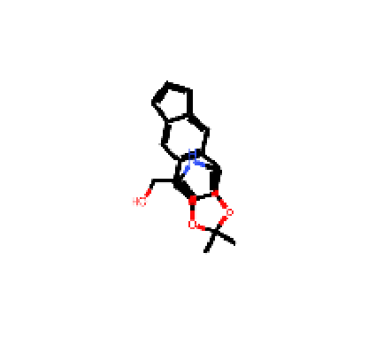 CC1(C)OC2C3c4cc5c(cc4C(c4c3c[nH]c4CO)C2O1)C=C=C5